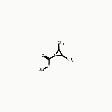 CC1C(C)N1C(=O)OC(C)(C)C